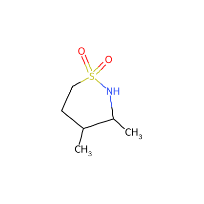 CC1CCS(=O)(=O)NC1C